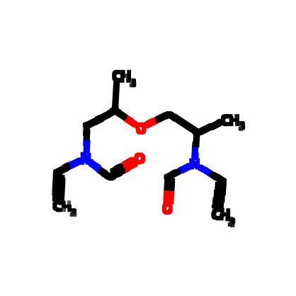 C=CN(C=O)CC(C)OCC(C)N(C=C)C=O